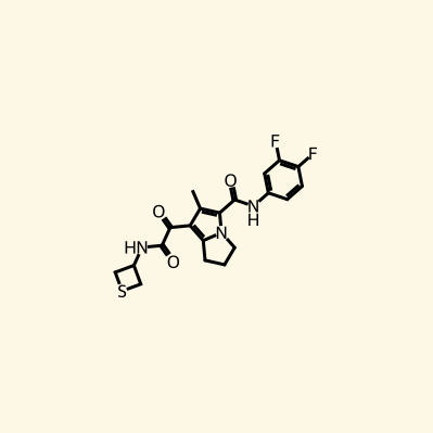 Cc1c(C(=O)C(=O)NC2CSC2)c2n(c1C(=O)Nc1ccc(F)c(F)c1)CCC2